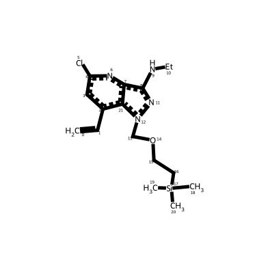 C=Cc1cc(Cl)nc2c(NCC)nn(COCC[Si](C)(C)C)c12